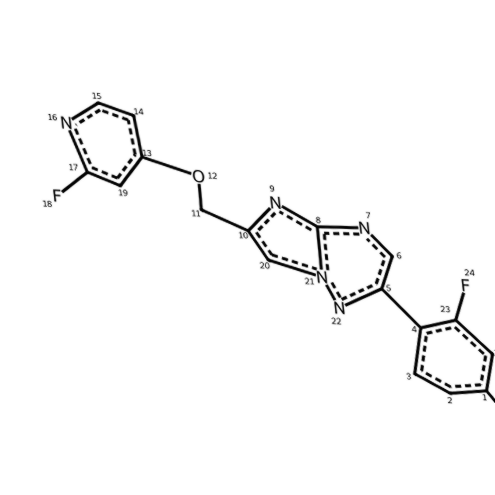 Fc1ccc(-c2cnc3nc(COc4ccnc(F)c4)cn3n2)c(F)c1